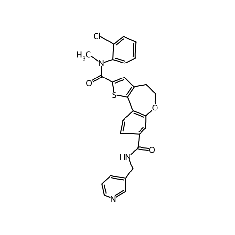 CN(C(=O)c1cc2c(s1)-c1ccc(C(=O)NCc3cccnc3)cc1OCC2)c1ccccc1Cl